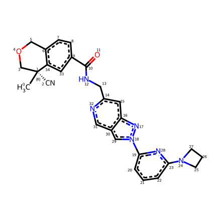 C[C@@]1(C#N)COCc2ccc(C(=O)NCc3cc4nn(-c5cccc(N6CCC6)n5)cc4cn3)cc21